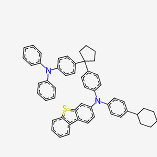 c1ccc(N(c2ccccc2)c2ccc(C3(c4ccc(N(c5ccc(C6CCCCC6)cc5)c5ccc6c(c5)sc5ccccc56)cc4)CCCC3)cc2)cc1